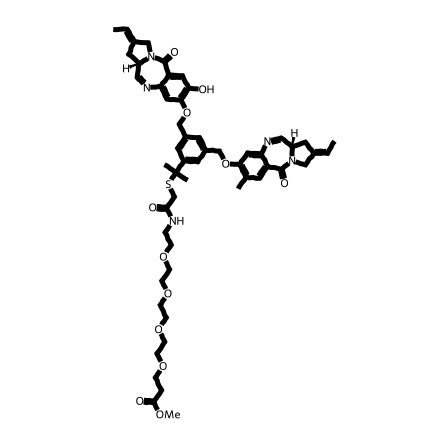 C/C=C1\C[C@H]2C=Nc3cc(OCc4cc(COc5cc6c(cc5O)C(=O)N5C/C(=C/C)C[C@H]5C=N6)cc(C(C)(C)SCC(=O)NCCOCCOCCOCCOCCC(=O)OC)c4)c(C)cc3C(=O)N2C1